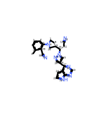 Cc1cccc(N2CC[C@H]([C@H](CC#N)n3cc(-c4ncnc5[nH]ccc45)cn3)C2)c1C#N